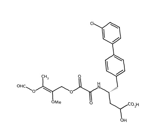 CO/C(COC(=O)C(=O)N[C@H](Cc1ccc(-c2cccc(Cl)c2)cc1)CC(O)C(=O)O)=C(/C)OC=O